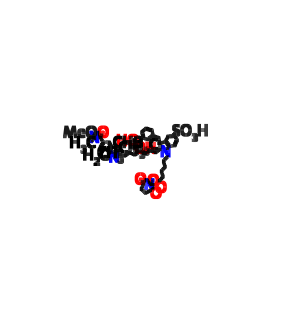 C=C1N=C(/C=C/C=C/C=C/C=C2/N(CCCCCC(=O)ON3C(=O)CCC3=O)c3ccc(S(=O)(=O)O)cc3C2(C)Cc2cccc(B(O)O)c2)C(C)(C)/C1=C/C(=C\C)C(=O)N(C)OC